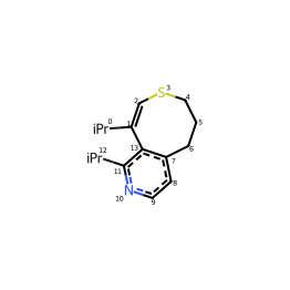 CC(C)/C1=C/SCCCc2ccnc(C(C)C)c21